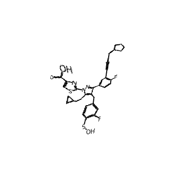 O=C(O)c1csc(-n2nc(-c3ccc(F)c(C#CCC4CCCC4)c3)c(Cc3ccc(SO)c(F)c3)c2CC2CC2)n1